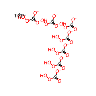 O=[Si]([O-])OO.O=[Si]([O-])OO.O=[Si]([O-])OO.O=[Si]([O-])OO.O=[Si]([O-])OO.O=[Si]([O-])OO.O=[Si]([O-])OO.[Al+3].[Ti+4]